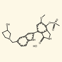 COc1cc(-c2cc3cc(CN4CCC(O)C4)ccc3[nH]2)c2c(c1OS(C)(=O)=O)CNC2=O.Cl